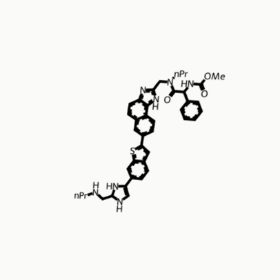 CCCNCC1NC=C(c2ccc3cc(-c4ccc5c(ccc6nc(CN(CCC)C(=O)C(NC(=O)OC)c7ccccc7)[nH]c65)c4)sc3c2)N1